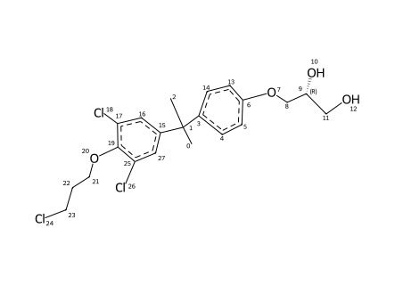 CC(C)(c1ccc(OC[C@H](O)CO)cc1)c1cc(Cl)c(OCCCCl)c(Cl)c1